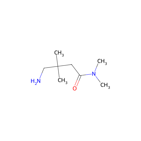 CN(C)C(=O)CC(C)(C)CN